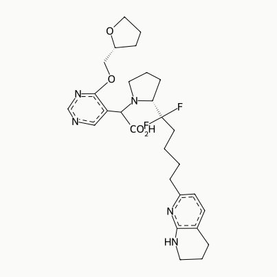 O=C(O)C(c1cncnc1OC[C@H]1CCCO1)N1CCC[C@@H]1C(F)(F)CCCCc1ccc2c(n1)NCCC2